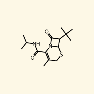 CC1=C(C(=O)NC(C)C)N2C(=O)C(C(C)(C)C)C2SC1